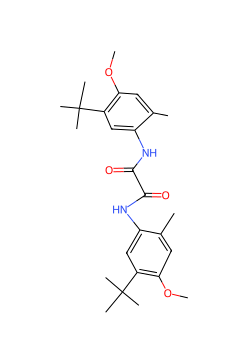 COc1cc(C)c(NC(=O)C(=O)Nc2cc(C(C)(C)C)c(OC)cc2C)cc1C(C)(C)C